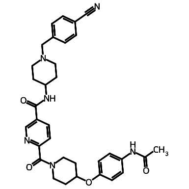 CC(=O)Nc1ccc(OC2CCN(C(=O)c3ccc(C(=O)NC4CCN(Cc5ccc(C#N)cc5)CC4)cn3)CC2)cc1